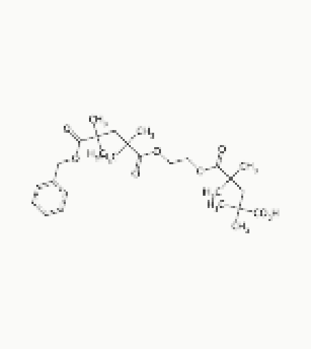 CC(C)(CC(C)(C)C(=O)OCCOC(=O)C(C)(C)CC(C)(C)C(=O)OCc1ccccc1)C(=O)O